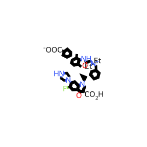 CC[N+](CC)(CC(=O)Nc1c(C)cccc1C)Cc1ccccc1.O=C(O)c1cn(C2CC2)c2cc(N3CCNCC3)c(F)cc2c1=O.O=C([O-])c1ccccc1